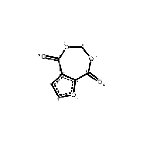 O=C1OCOC(=O)c2occc21